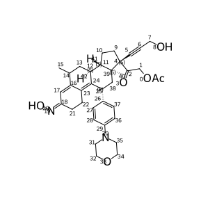 CC(=O)OCC(=O)[C@@]1(C#CCO)CC[C@H]2[C@@H]3CC(C)C4=CC(=NO)CCC4=C3[C@@H](c3ccc(N4CCOCC4)cc3)C[C@@]21C